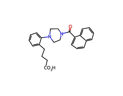 O=C(O)CCCc1ccccc1N1CCN(C(=O)c2cccc3ccccc23)CC1